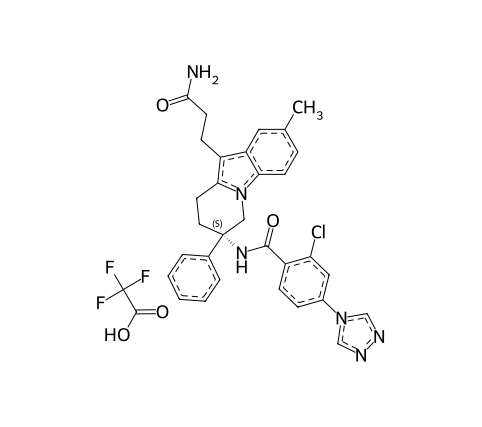 Cc1ccc2c(c1)c(CCC(N)=O)c1n2C[C@@](NC(=O)c2ccc(-n3cnnc3)cc2Cl)(c2ccccc2)CC1.O=C(O)C(F)(F)F